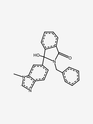 Cn1[c]nc2ccc(C3(O)c4ccccc4C(=O)N3Cc3ccccc3)cc21